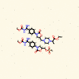 CCOC(=O)C(C)N1CCN(CC2CN(c3ccc(C(=N)NC(=O)OC)cc3)C(=O)O2)CC1.COC(=O)NC(=N)c1ccc(N2CC(COS(C)(=O)=O)OC2=O)cc1